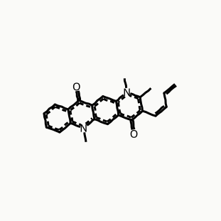 C=C/C=C\c1c(C)n(C)c2cc3c(=O)c4ccccc4n(C)c3cc2c1=O